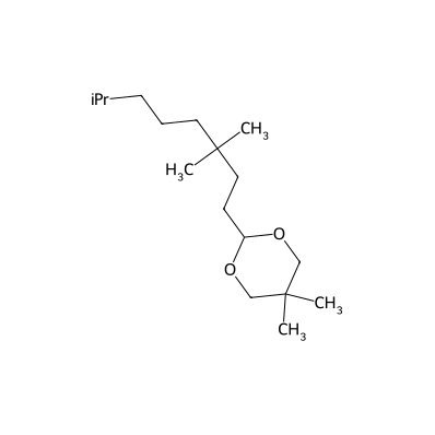 CC(C)CCCC(C)(C)CCC1OCC(C)(C)CO1